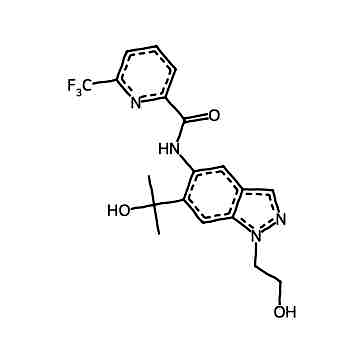 CC(C)(O)c1cc2c(cnn2CCO)cc1NC(=O)c1cccc(C(F)(F)F)n1